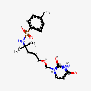 Cc1ccc(S(=O)(=O)NC(C)(C)CCCOCn2ccc(=O)[nH]c2=O)cc1